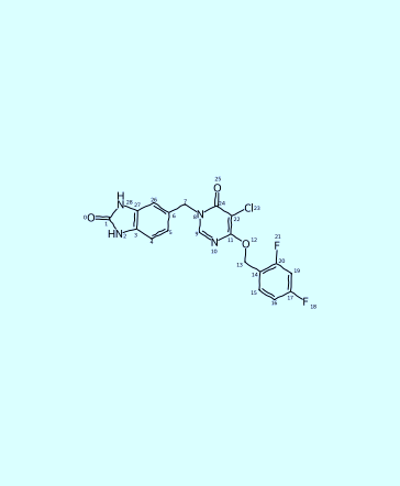 O=c1[nH]c2ccc(Cn3cnc(OCc4ccc(F)cc4F)c(Cl)c3=O)cc2[nH]1